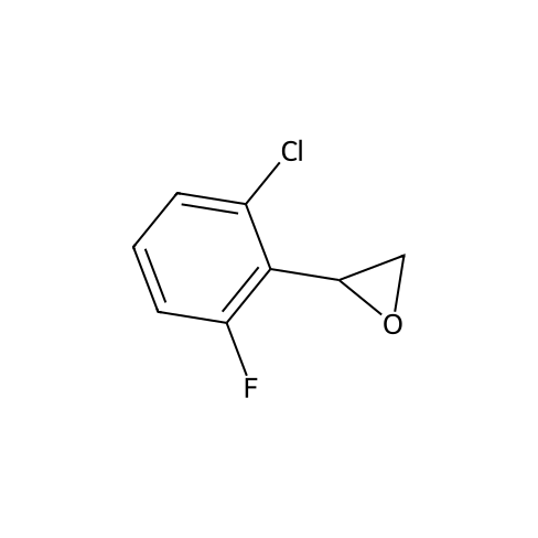 Fc1cccc(Cl)c1C1CO1